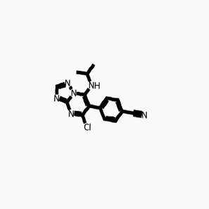 CC(C)Nc1c(-c2ccc(C#N)cc2)c(Cl)nc2ncnn12